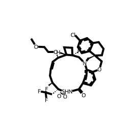 COCCO[C@H]1/C=C\C[C@H](C)[C@@H](CC(F)(F)F)S(=O)(=O)NC(=O)c2ccc3c(c2)N(C[C@@H]2CC[C@H]21)C[C@@]1(CCCc2cc(Cl)ccc21)CO3